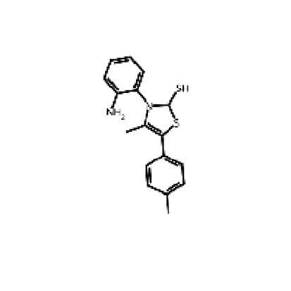 CC1=C(c2ccc(C)cc2)SC(S)N1c1ccccc1N